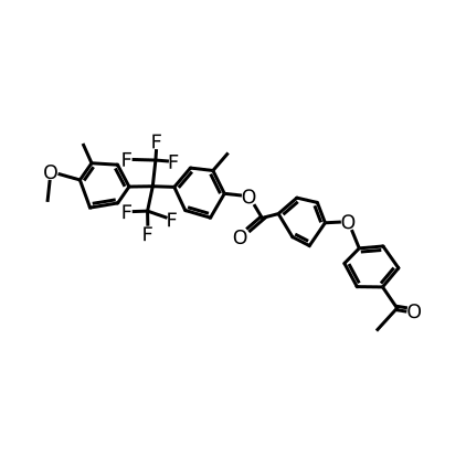 COc1ccc(C(c2ccc(OC(=O)c3ccc(Oc4ccc(C(C)=O)cc4)cc3)c(C)c2)(C(F)(F)F)C(F)(F)F)cc1C